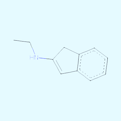 CCNC1=Cc2ccccc2C1